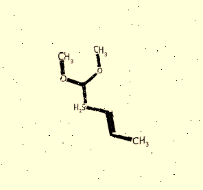 CC=C[SiH2]C(OC)OC